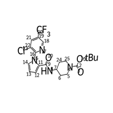 CC(C)(C)OC(=O)N1CCC(NC(=O)c2cccn2-c2ncc(C(F)(F)F)cc2Cl)CC1